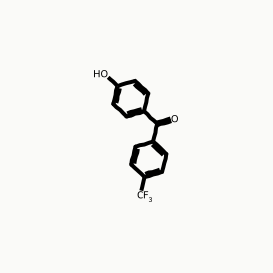 O=C(c1ccc(O)cc1)c1ccc(C(F)(F)F)cc1